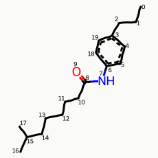 CCCc1ccc(NC(=O)CCCCCC(C)C)cc1